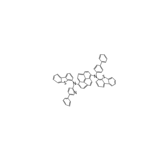 c1ccc(-c2ccc(N(c3ccc4ccc5c(N(c6ccc(-c7ccccc7)cn6)c6cccc7c6sc6ccccc67)ccc6ccc3c4c65)c3cccc4c3sc3ccccc34)cc2)cc1